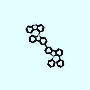 c1ccc(-c2cccc3c4cc(-c5ccc6c(c5)c5ccccc5n6-c5cccc6sc7ccccc7c56)ccc4n(-c4ccccc4)c23)cc1